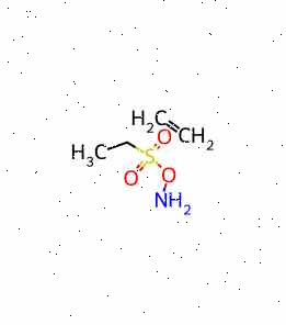 C=C.CCS(=O)(=O)ON